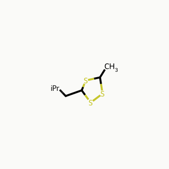 CC(C)CC1SSC(C)S1